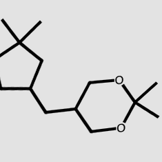 CC1(C)CCC(CC2COC(C)(C)OC2)C1